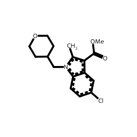 COC(=O)c1c(C)n(CC2CCOCC2)c2ccc(Cl)cc12